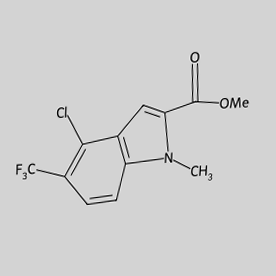 COC(=O)c1cc2c(Cl)c(C(F)(F)F)ccc2n1C